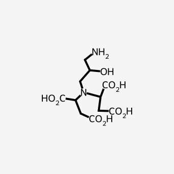 NCC(O)CN(C(CC(=O)O)C(=O)O)C(CC(=O)O)C(=O)O